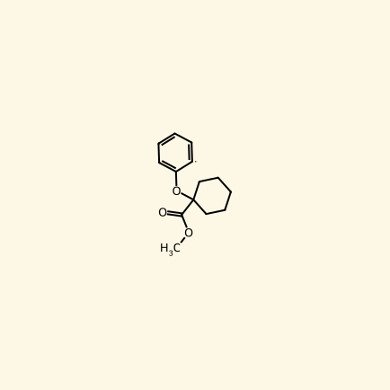 COC(=O)C1(Oc2[c]cccc2)CCCCC1